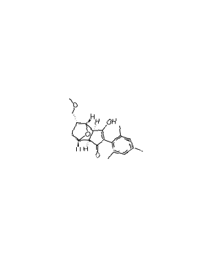 COC[C@H]1C[C@@H]2O[C@H]1[C@H]1C(O)=C(c3c(C)cc(C)cc3C)C(=O)[C@H]12